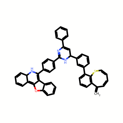 C=C1/C=C\C=C/Sc2c1cccc2-c1cccc(C2C=C(c3ccccc3)N=C(c3ccc(C4=c5c(oc6ccccc56)=C5C=CC=CC5N4)cc3)N2)c1